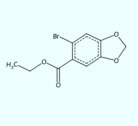 CCOC(=O)c1cc2c(cc1Br)OCO2